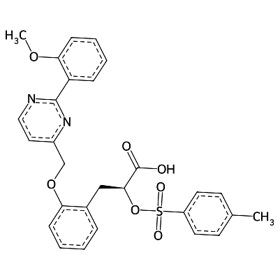 COc1ccccc1-c1nccc(COc2ccccc2C[C@H](OS(=O)(=O)c2ccc(C)cc2)C(=O)O)n1